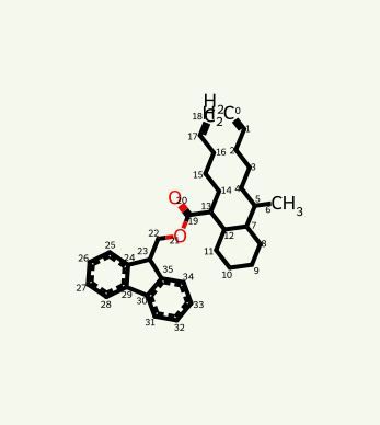 C=CCCCC(C)C1CCCCC1C(CCCC=C)C(=O)OCC1c2ccccc2-c2ccccc21